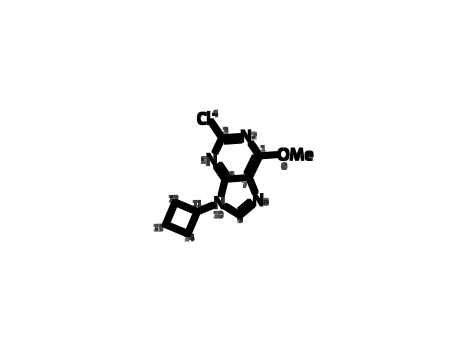 COc1nc(Cl)nc2c1ncn2C1CCC1